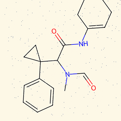 CN(C=O)C(C(=O)NC1=CCCCC1)C1(c2ccccc2)CC1